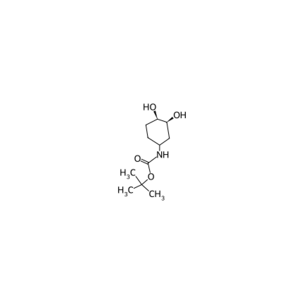 CC(C)(C)OC(=O)NC1CC[C@@H](O)[C@@H](O)C1